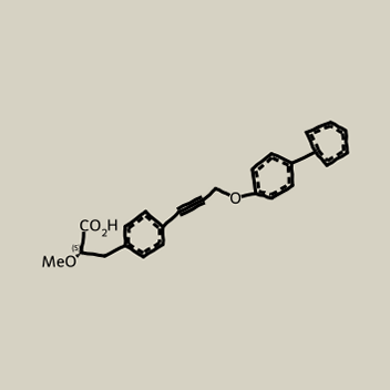 CO[C@@H](Cc1ccc(C#CCOc2ccc(-c3ccccc3)cc2)cc1)C(=O)O